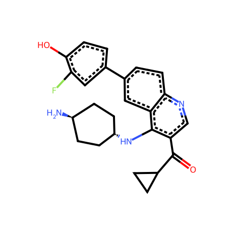 N[C@H]1CC[C@H](Nc2c(C(=O)C3CC3)cnc3ccc(-c4ccc(O)c(F)c4)cc23)CC1